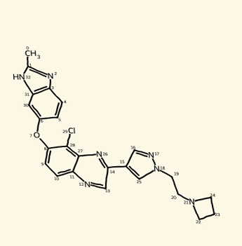 Cc1nc2ccc(Oc3ccc4ncc(-c5cnn(CCN6CCC6)c5)nc4c3Cl)cc2[nH]1